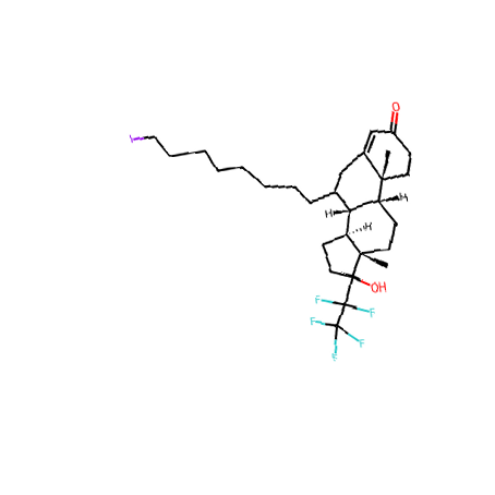 C[C@]12CCC(=O)C=C1CC(CCCCCCCCI)[C@@H]1[C@H]2CC[C@@]2(C)[C@H]1CCC2(O)C(F)(F)C(F)(F)F